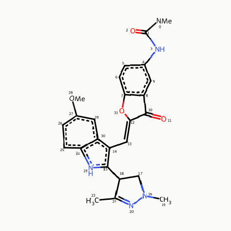 CNC(=O)Nc1ccc2c(c1)C(=O)/C(=C/c1c(C3CN(C)N=C3C)[nH]c3ccc(OC)cc13)O2